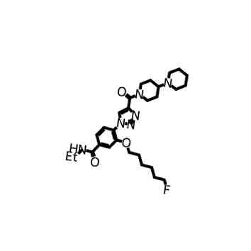 CCNC(=O)c1ccc(-n2cc(C(=O)N3CCC(N4CCCCC4)CC3)nn2)c(OCCCCCCF)c1